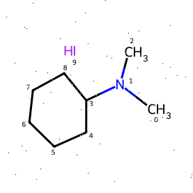 CN(C)C1CCCCC1.I